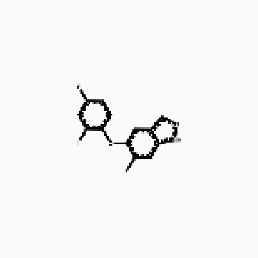 Fc1ccc(Oc2cc3cn[nH]c3cc2I)c(F)c1